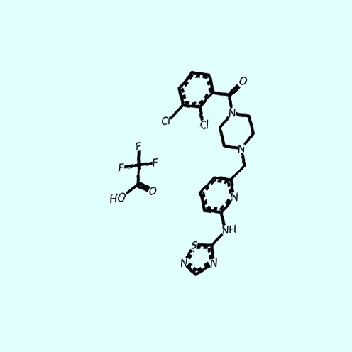 O=C(O)C(F)(F)F.O=C(c1cccc(Cl)c1Cl)N1CCN(Cc2cccc(Nc3ncns3)n2)CC1